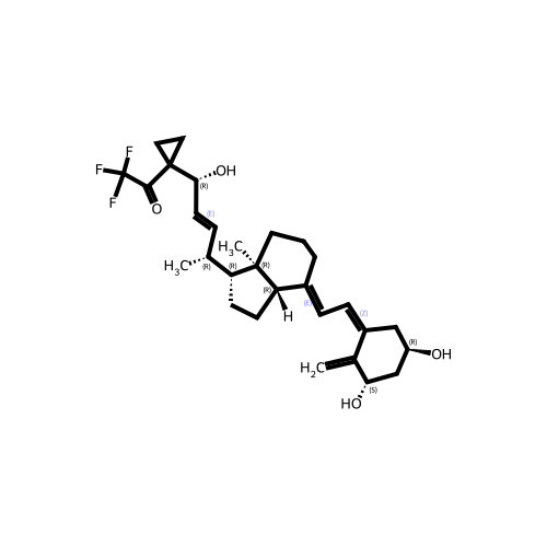 C=C1/C(=C\C=C2/CCC[C@]3(C)[C@@H]([C@H](C)/C=C/[C@@H](O)C4(C(=O)C(F)(F)F)CC4)CC[C@@H]23)C[C@@H](O)C[C@@H]1O